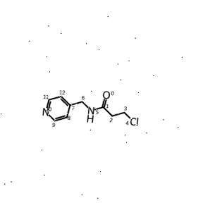 O=C(CCCl)NCc1ccncc1